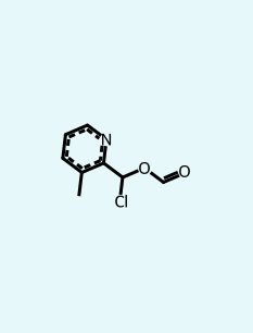 Cc1cccnc1C(Cl)OC=O